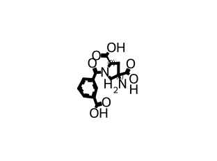 N[C@]1(C(=O)O)C[C@H](C(=O)O)N(C(=O)c2cccc(C(=O)O)c2)C1